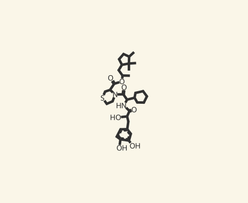 CC(CC1CCC(C)C1(C)C)OC(=O)C1CSCCN1C(=O)C(NC(=O)C(O)Cc1ccc(O)c(O)c1)C1CCCCC1